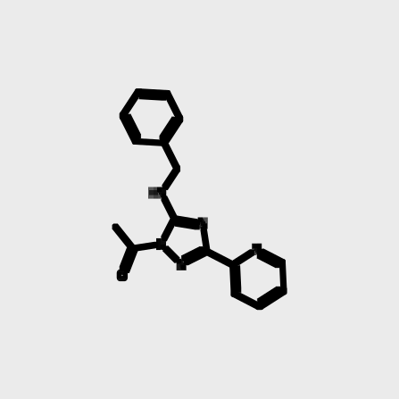 CC(=O)n1nc(-c2ccccn2)nc1NCc1ccccc1